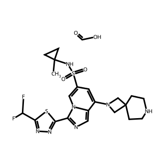 CC1(NS(=O)(=O)c2cc(N3CC4(CCNCC4)C3)c3cnc(-c4nnc(C(F)F)s4)n3c2)CC1.O=CO